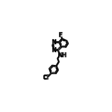 Fc1cccc2c(NCCc3ccc(Cl)cc3)ncnc12